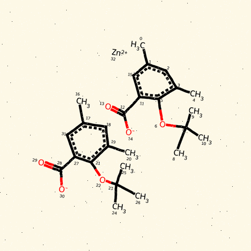 Cc1cc(C)c(OC(C)(C)C)c(C(=O)[O-])c1.Cc1cc(C)c(OC(C)(C)C)c(C(=O)[O-])c1.[Zn+2]